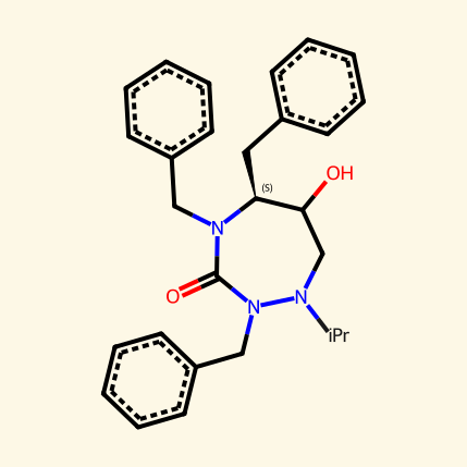 CC(C)N1CC(O)[C@H](Cc2ccccc2)N(Cc2ccccc2)C(=O)N1Cc1ccccc1